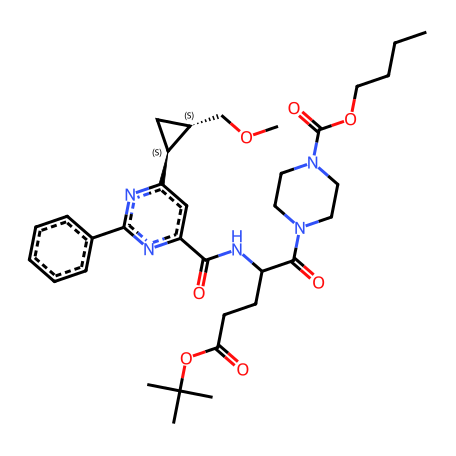 CCCCOC(=O)N1CCN(C(=O)C(CCC(=O)OC(C)(C)C)NC(=O)c2cc([C@H]3C[C@@H]3COC)nc(-c3ccccc3)n2)CC1